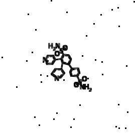 NS(=O)(=O)c1ccc(-c2ccc(S(N)(=O)=O)c(-c3ccncc3)c2-c2ccncc2)cc1